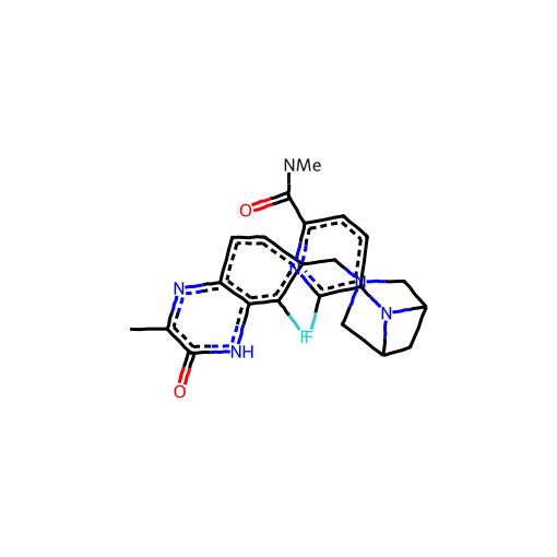 CNC(=O)c1ccc(N2C3CC2CN(Cc2ccc4nc(C)c(=O)[nH]c4c2F)C3)c(F)n1